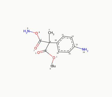 CC(C)(C)OC(=O)C(C)(C(=O)ON)c1ccc(N)cc1